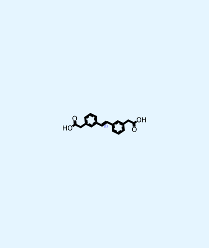 O=C(O)Cc1cccc(/C=C/c2cccc(CC(=O)O)c2)c1